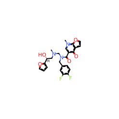 CN(C[C@@H](O)c1ccco1)CN(Cc1ccc(F)c(F)c1)C(=O)c1cn(C)c2occc2c1=O